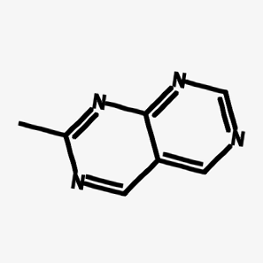 Cc1ncc2cncnc2n1